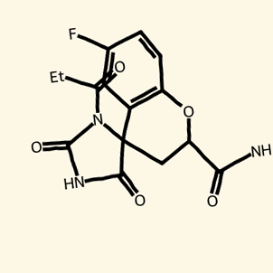 CCC(=O)N1C(=O)NC(=O)C12CC(C(N)=O)Oc1ccc(F)cc12